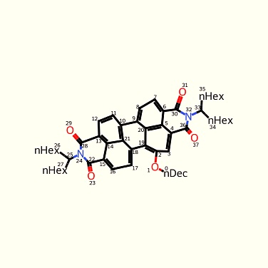 CCCCCCCCCCOc1cc2c3c(ccc4c5ccc6c7c(ccc(c1c34)c75)C(=O)N(C(CCCCCC)CCCCCC)C6=O)C(=O)N(C(CCCCCC)CCCCCC)C2=O